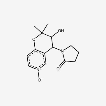 CC1(C)Oc2cc[n+]([O-])cc2C(N2CCCC2=O)C1O